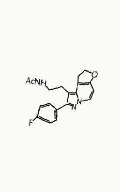 CC(=O)NCCc1c(-c2ccc(F)cc2)nn2ccc3c(c12)CCO3